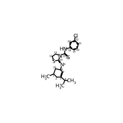 CC1CC(C(C)C)=CC(N=C2SCCN2C(=S)Nc2cccc(Cl)c2)C1